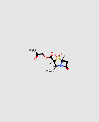 COC(=O)COC(=O)[C@]1(C)[C@H](C(=O)O)N2C(=O)C[C@H]2S1(=O)=O